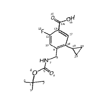 CC(C)(C)OC(=O)NCc1cc(F)c(C(=O)O)cc1C1CC1